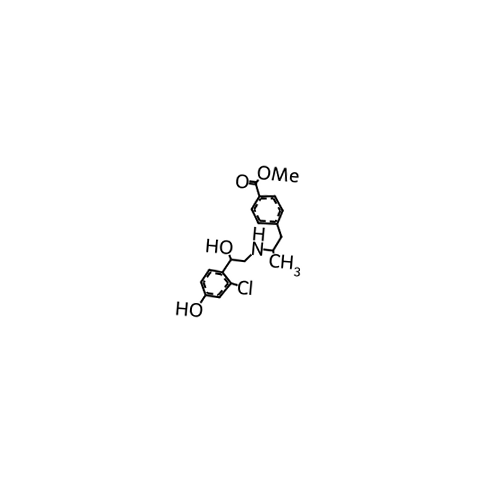 COC(=O)c1ccc(CC(C)NCC(O)c2ccc(O)cc2Cl)cc1